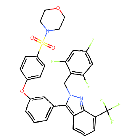 O=S(=O)(c1ccc(Oc2cccc(-c3c4cccc(C(F)(F)F)c4nn3Cc3c(F)cc(F)cc3F)c2)cc1)N1CCOCC1